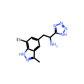 CCc1cc(CC(N)c2nnn[nH]2)cc2c(C)n[nH]c12